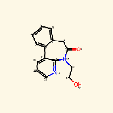 O=C1Cc2ccccc2-c2cccnc2N1CCO